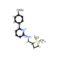 CSc1ccc(-c2cccc(NCC3CCS3(C)N=O)n2)cc1